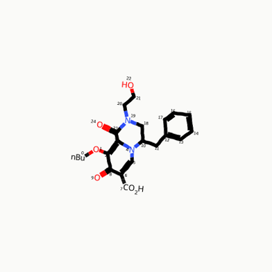 CCCCOc1c2n(cc(C(=O)O)c1=O)C(Cc1ccccc1)CN(CCO)C2=O